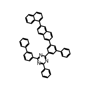 c1ccc(-c2cccc(-c3nc(-c4ccccc4)nc(-c4cc(-c5ccccc5)cc(-c5ccc6cc(-c7cccc8ccccc78)ccc6c5)c4)n3)c2)cc1